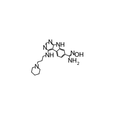 NC(=NO)c1ccc2c(c1)[nH]c1ncnc(NCCCN3CCCCC3)c12